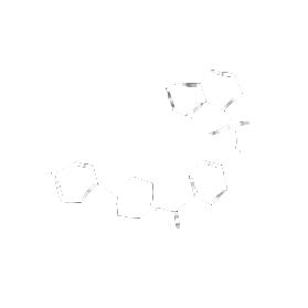 O=C(c1ccc(NS(=O)(=O)c2cccc3cccnc23)cc1)N1CCN(c2ccncc2)CC1